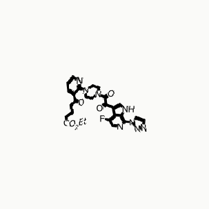 CCOC(=O)CCCC(=O)c1cccnc1N1CCN(C(=O)C(=O)c2c[nH]c3c(-n4ccnn4)ncc(F)c23)CC1